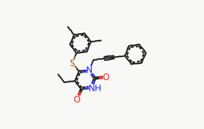 CCc1c(Sc2cc(C)cc(C)c2)n(CC#Cc2ccccc2)c(=O)[nH]c1=O